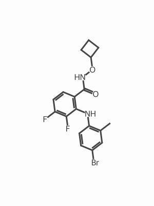 Cc1cc(Br)ccc1Nc1c(C(=O)NOC2CCC2)ccc(F)c1F